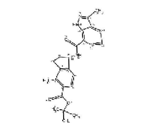 Cc1c(C(=O)OC(C)(C)C)ccc2c1CC[C@@H]2NC(=O)c1ncnc2c(C)n[nH]c12